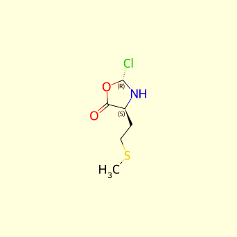 CSCC[C@@H]1N[C@@H](Cl)OC1=O